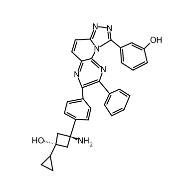 N[C@]1(c2ccc(-c3nc4ccc5nnc(-c6cccc(O)c6)n5c4nc3-c3ccccc3)cc2)C[C@](O)(C2CC2)C1